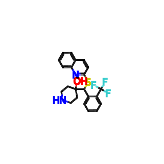 OC1(C(Sc2ccc3ccccc3n2)c2ccccc2C(F)(F)F)CCNCC1